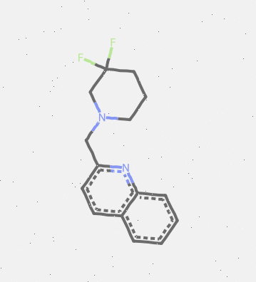 FC1(F)CCCN(Cc2ccc3ccccc3n2)C1